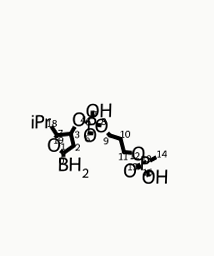 BC1CC(OP(=O)(O)OCCCOP(C)(=O)O)C(C(C)C)O1